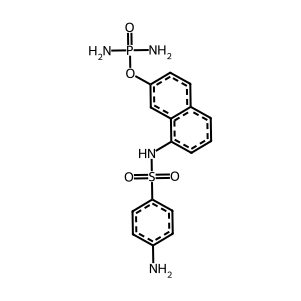 Nc1ccc(S(=O)(=O)Nc2cccc3ccc(OP(N)(N)=O)cc23)cc1